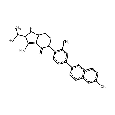 CC1=C2C(=O)N(c3ccc(-c4ncc5cc(C(F)(F)F)ccc5n4)cc3C)CCN2NC1C(C)O